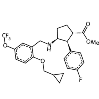 COC(=O)[C@H]1CC[C@H](NCc2cc(OC(F)(F)F)ccc2OCC2CC2)[C@@H]1c1ccc(F)cc1